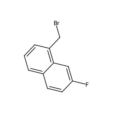 Fc1ccc2cccc(CBr)c2c1